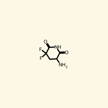 NC1CC(F)(F)C(=O)NC1=O